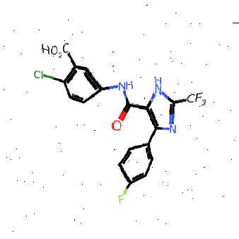 O=C(O)c1cc(NC(=O)c2[nH]c(C(F)(F)F)nc2-c2ccc(F)cc2)ccc1Cl